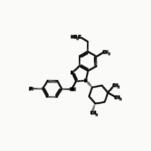 Cc1cc2c(cc1CC(=O)O)nc(Nc1ccc(C(C)C)cc1)n2[C@H]1C[C@@H](C)CC(C)(C)C1